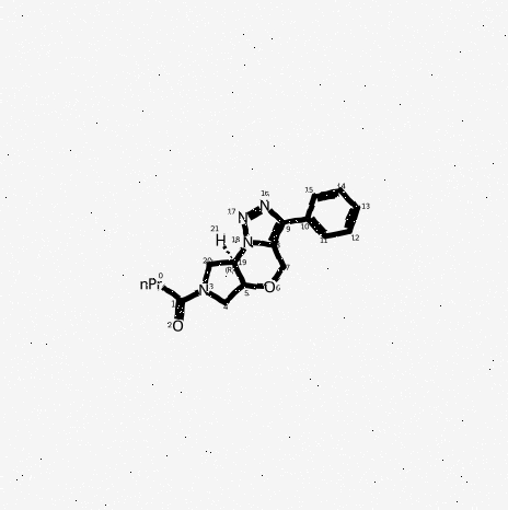 CCCC(=O)N1CC2OCc3c(-c4ccccc4)nnn3[C@@H]2C1